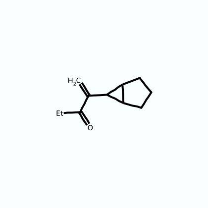 C=C(C(=O)CC)C1C2CCCC21